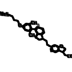 CCOC(=O)C[C@@H]1COc2cc(CCC3CCc4c(-c5c(C)cc(OCCCSC)cc5C)cccc43)ncc21